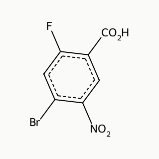 O=C(O)c1cc([N+](=O)[O-])c(Br)cc1F